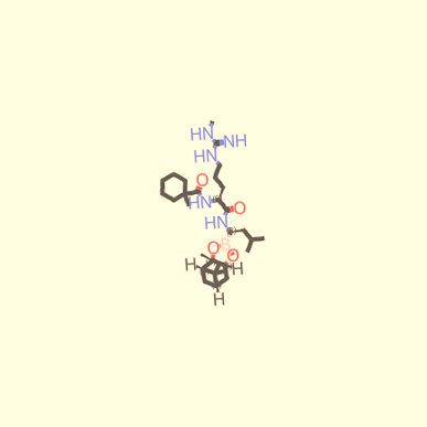 CNC(=N)NCCC[C@H](NC(=O)C1(C)CCCCC1)C(=O)N[C@@H](CC(C)C)B1O[C@@H]2C[C@@H]3C[C@@H](C3(C)C)[C@]2(C)O1